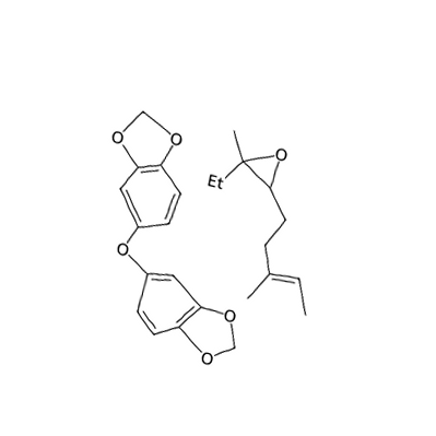 CC=C(C)CCC1OC1(C)CC.c1cc2c(cc1Oc1ccc3c(c1)OCO3)OCO2